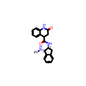 CC(C)N[C@H]1c2ccccc2C[C@@H]1NC(=O)C1CC(=O)Nc2ccccc21